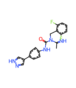 CC(=N)N(Cc1c(F)cccc1F)C(=O)Nc1ccc(-c2cn[nH]c2)cc1